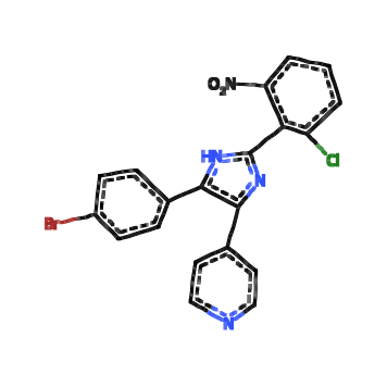 O=[N+]([O-])c1cccc(Cl)c1-c1nc(-c2ccncc2)c(-c2ccc(Br)cc2)[nH]1